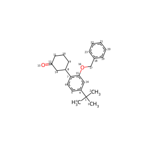 CC(C)(C)c1ccc(C2CCCC(=O)C2)c(OCc2ccccc2)c1